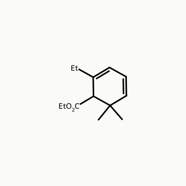 CCOC(=O)C1C(CC)=CC=CC1(C)C